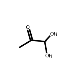 CC(=O)[C](O)O